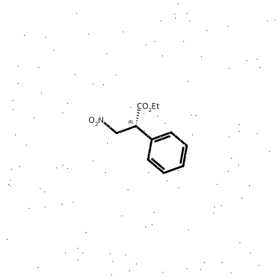 CCOC(=O)[C@@H](C[N+](=O)[O-])c1ccccc1